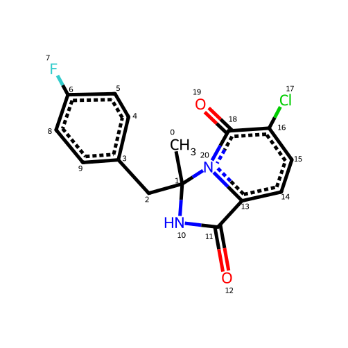 CC1(Cc2ccc(F)cc2)NC(=O)c2ccc(Cl)c(=O)n21